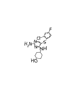 Nc1ncc(Sc2ccc(F)cc2Cl)c(NC2CCC(O)CC2)n1